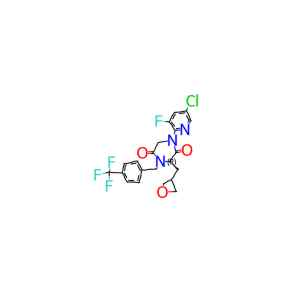 O=C1[C@@H](CC2COC2)N(Cc2ccc(C(F)(F)F)cc2)C(=O)CN1c1ncc(Cl)cc1F